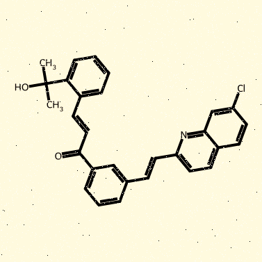 CC(C)(O)c1ccccc1/C=C/C(=O)c1cccc(/C=C/c2ccc3ccc(Cl)cc3n2)c1